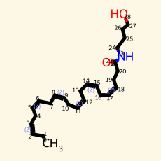 CC/C=C\C/C=C\C/C=C\C/C=C\C/C=C\C/C=C\CCC(=O)NCCCCO